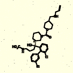 C=CCNCC1CCN(C(=O)N2CCC[C@@H](C(O)(CCCNC(=O)O)c3cccc(Cl)c3-c3cccc(CC)c3)C2)CC1